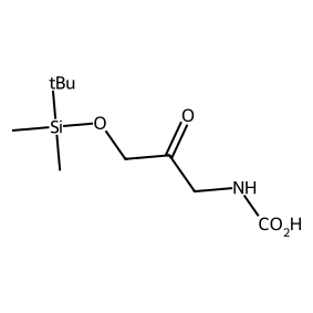 CC(C)(C)[Si](C)(C)OCC(=O)CNC(=O)O